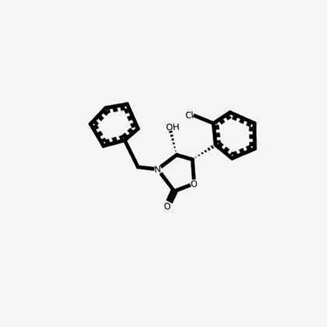 O=C1O[C@@H](c2ccccc2Cl)[C@@H](O)N1Cc1ccccc1